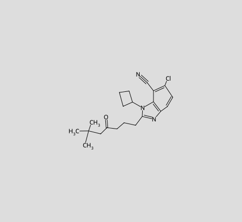 CC(C)(C)CC(=O)CCCc1nc2ccc(Cl)c(C#N)c2n1C1CCC1